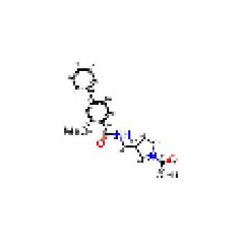 COc1cc(-c2ccccc2)ccc1C(=O)NCC1CCN(C(=O)OCC(C)C)C1